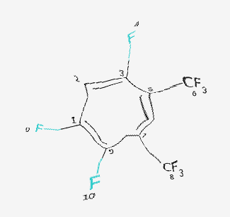 Fc1cc(F)c(C(F)(F)F)c(C(F)(F)F)c1F